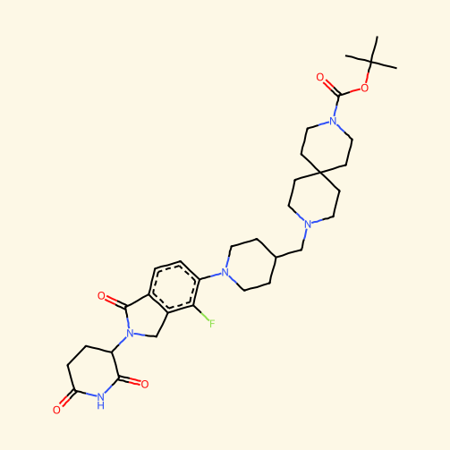 CC(C)(C)OC(=O)N1CCC2(CCN(CC3CCN(c4ccc5c(c4F)CN(C4CCC(=O)NC4=O)C5=O)CC3)CC2)CC1